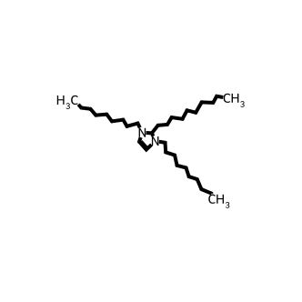 CCCCCCCCCCC1N(CCCCCCCCC)C=CN1CCCCCCCCCC